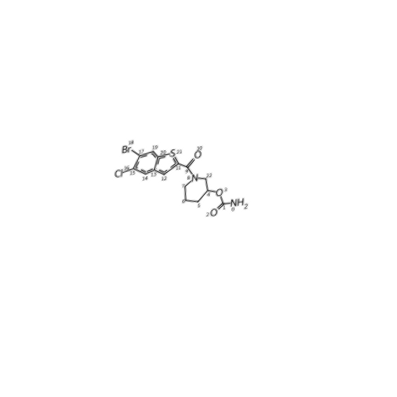 NC(=O)OC1CCCN(C(=O)c2cc3cc(Cl)c(Br)cc3s2)C1